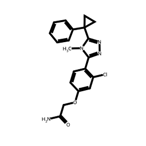 Cn1c(-c2ccc(OCC(N)=O)cc2Cl)nnc1C1(c2ccccc2)CC1